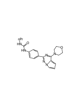 CCCNC(=O)Nc1ccc(-c2nc(N3CCOCC3)c3cccn3n2)cc1